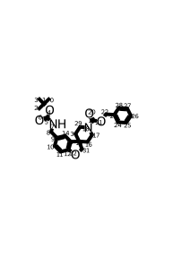 CC(C)(C)OC(=O)NCc1ccc2c(c1)C1(CCN(C(=O)OCc3ccccc3)CC1)CO2